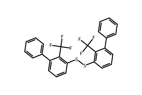 FC(F)(F)c1c(SSc2cccc(-c3ccccc3)c2C(F)(F)F)cccc1-c1ccccc1